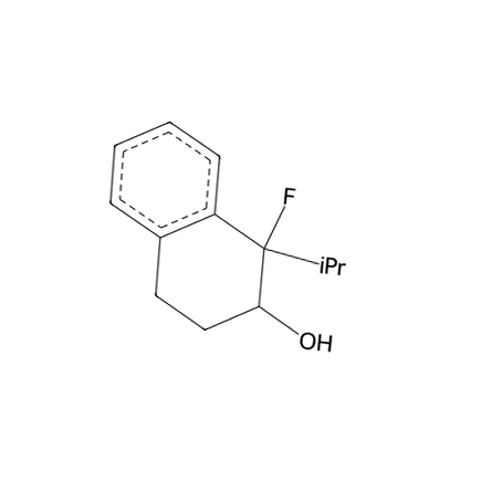 CC(C)C1(F)c2ccccc2CCC1O